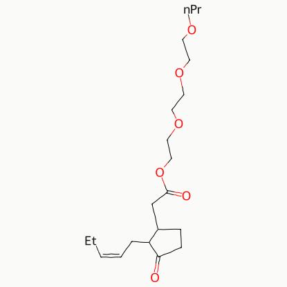 CC/C=C\CC1C(=O)CCC1CC(=O)OCCOCCOCCOCCC